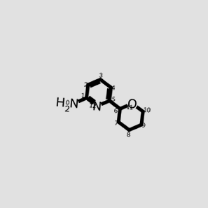 Nc1cccc(C2CCCCO2)n1